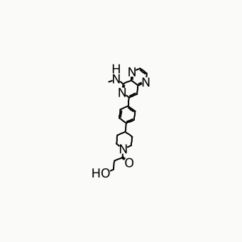 CNc1nc(-c2ccc(C3CCN(C(=O)CCO)CC3)cc2)cc2nccnc12